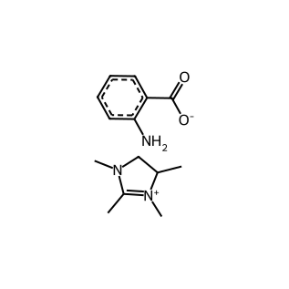 CC1=[N+](C)C(C)CN1C.Nc1ccccc1C(=O)[O-]